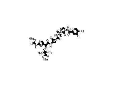 CC(C)(C)OC(=O)Nc1nc(C(=NOC(C)(C)C(=O)OC(C)(C)C)C(=O)NC2CN(C(=O)NS(=O)(=O)n3ncn(NC(=O)c4cc(=O)c(O)c[nH]4)c3=O)C2=O)cs1